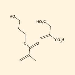 C=C(C)C(=O)OCCCO.C=C(CC(=O)O)C(=O)O